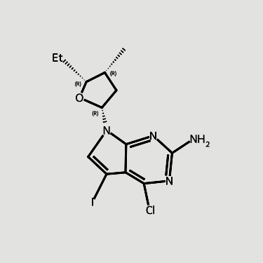 CC[C@H]1O[C@@H](n2cc(I)c3c(Cl)nc(N)nc32)C[C@H]1C